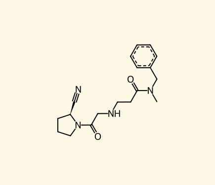 CN(Cc1ccccc1)C(=O)CCNCC(=O)N1CCC[C@H]1C#N